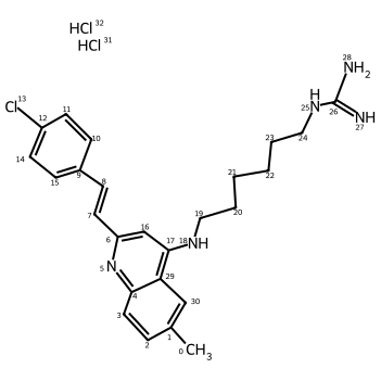 Cc1ccc2nc(/C=C/c3ccc(Cl)cc3)cc(NCCCCCCNC(=N)N)c2c1.Cl.Cl